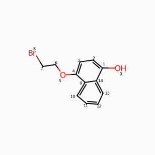 Oc1ccc(OCCBr)c2ccccc12